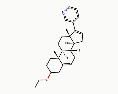 CCO[C@H]1CC[C@@]2(C)C(=CC[C@@H]3[C@@H]2CC[C@]2(C)C(c4cccnc4)=CC[C@@H]32)C1